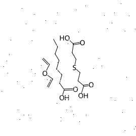 C=COC=C.CCCCCCCC(=O)O.O=C(O)CCSCCC(=O)O